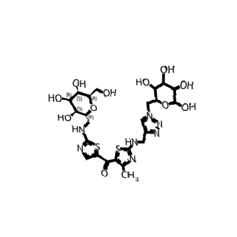 Cc1nc(NCc2cn(CC3OC(O)C(O)C(O)C3O)nn2)sc1C(=O)c1cnc(NC[C@H]2O[C@H](CO)[C@@H](O)[C@H](O)[C@@H]2O)s1